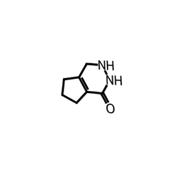 O=C1NNCC2=C1CCC2